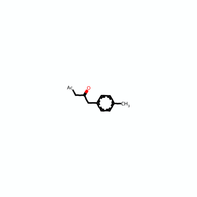 CC(=O)CC(=O)Cc1ccc(C)cc1